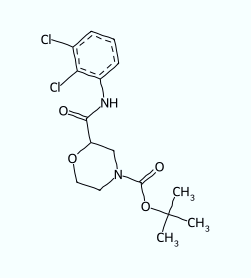 CC(C)(C)OC(=O)N1CCOC(C(=O)Nc2cccc(Cl)c2Cl)C1